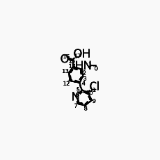 CNc1cc(-c2ncccc2Cl)ccc1C(=O)O